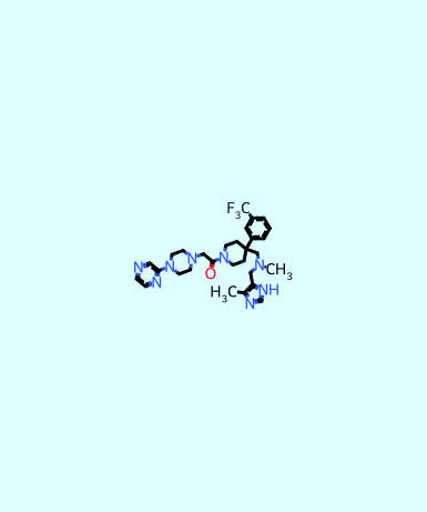 Cc1nc[nH]c1CN(C)CC1(c2cccc(C(F)(F)F)c2)CCN(C(=O)CN2CCN(c3cnccn3)CC2)CC1